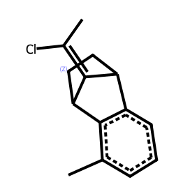 C/C(Cl)=C1\C2CCC1c1c(C)cccc12